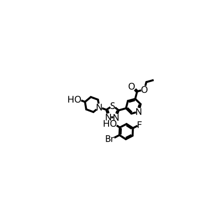 CCOC(=O)c1cncc(-c2nnc(N3CCC(O)CC3)s2)c1.Oc1cc(F)ccc1Br